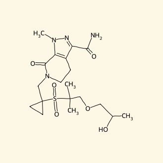 CC(O)COCC(C)(C)S(=O)(=O)C1(CN2CCc3c(C(N)=O)nn(C)c3C2=O)CC1